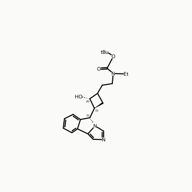 CCN(CCC1C[C@@H]([C@H]2c3ccccc3-c3cncn32)[C@@H]1O)C(=O)OC(C)(C)C